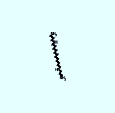 NCCCNCCCCCCCCCCCCNCCCN